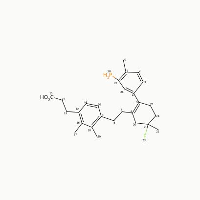 Cc1ccc(C2=C(CCc3ccc(CCC(=O)O)c(C)c3C)CC(C)(F)CC2)cc1P